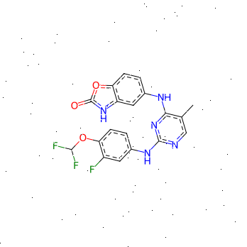 Cc1cnc(Nc2ccc(OC(F)F)c(F)c2)nc1Nc1ccc2oc(=O)[nH]c2c1